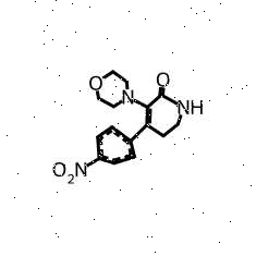 O=C1NCCC(c2ccc([N+](=O)[O-])cc2)=C1N1CCOCC1